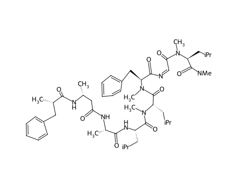 CNC(=O)[C@H](CC(C)C)N(C)C(=O)/C=N\C(=O)[C@H](Cc1ccccc1)N(C)C(=O)[C@H](CC(C)C)N(C)C(=O)[C@H](CC(C)C)NC(=O)[C@H](C)NC(=O)C[C@@H](C)NC(=O)[C@@H](C)Cc1ccccc1